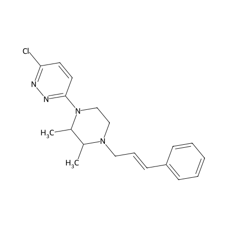 CC1C(C)N(c2ccc(Cl)nn2)CCN1CC=Cc1ccccc1